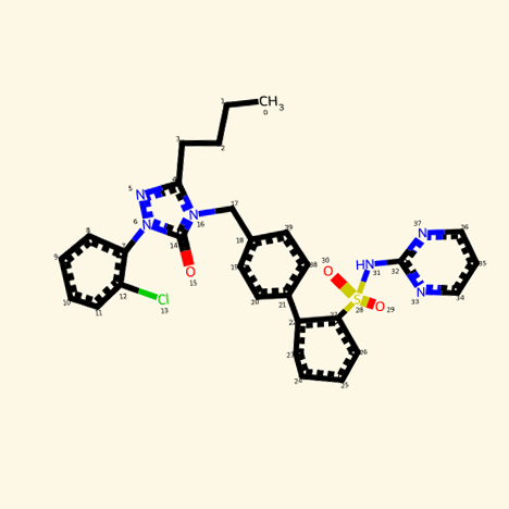 CCCCc1nn(-c2ccccc2Cl)c(=O)n1Cc1ccc(-c2ccccc2S(=O)(=O)Nc2ncccn2)cc1